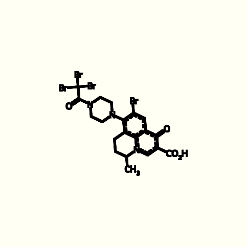 CC1CCc2c(N3CCN(C(=O)C(Br)(Br)Br)CC3)c(Br)cc3c(=O)c(C(=O)O)cn1c23